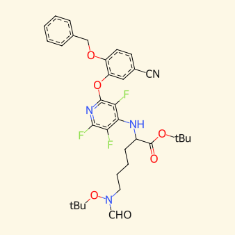 CC(C)(C)OC(=O)C(CCCCN(C=O)OC(C)(C)C)Nc1c(F)c(F)nc(Oc2cc(C#N)ccc2OCc2ccccc2)c1F